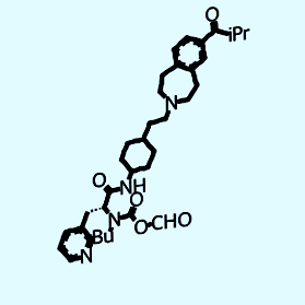 CC(C)C(=O)c1ccc2c(c1)CCN(CCC1CCC(NC(=O)[C@@H](Cc3cccnc3)N(C(=O)OC=O)C(C)(C)C)CC1)CC2